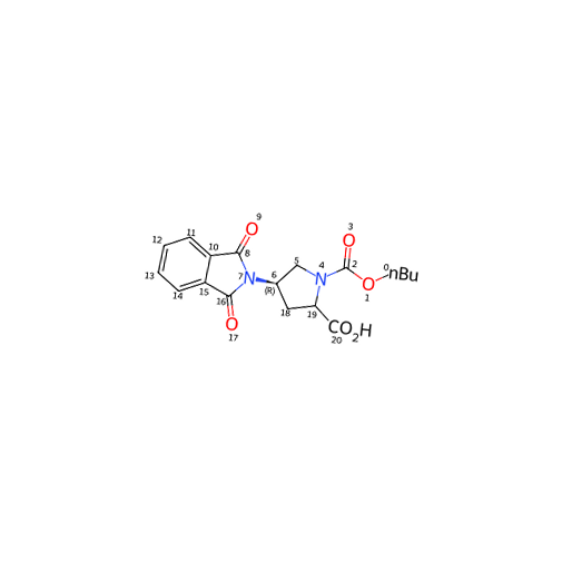 CCCCOC(=O)N1C[C@H](N2C(=O)c3ccccc3C2=O)CC1C(=O)O